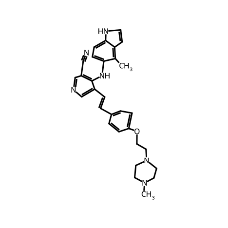 Cc1c(Nc2c(C#N)cncc2C=Cc2ccc(OCCN3CCN(C)CC3)cc2)ccc2[nH]ccc12